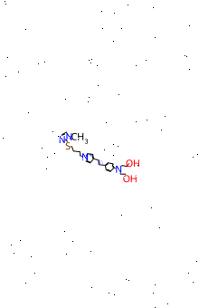 Cn1ccnc1SCCCC[n+]1ccc(/C=C/c2ccc(N(CCO)CCO)cc2)cc1